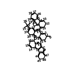 CC1C=C2C3=C(C1)N1c4sc5c(c4C4C=CCC(B3C3CC=C(C(C)(C)C)C=C3N2C2CCC=C3c6ccccc6OC32)C41)=CCCC=5